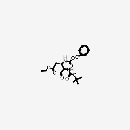 CCOC(=O)C[C@@H](NC(=O)OCc1ccccc1)C(C=O)NC(=O)OC(C)(C)C